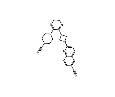 N#Cc1ccc2nc(N3CC(c4nccnc4N4CCC(C#N)CC4)C3)ccc2c1